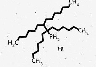 CCCCCCCC(CCCCCC)C(P)(CCCCCC)CCCCCC.I